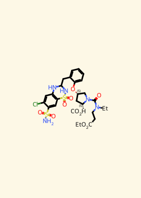 CCOC(=O)CCN(CC)C(=O)N1C[C@@H](Oc2ccccc2CC2Nc3cc(Cl)c(S(N)(=O)=O)cc3S(=O)(=O)N2)C[C@H]1C(=O)O